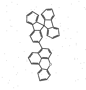 c1ccc2c(c1)Oc1ccc(-c3ccc4c(c3)C3(c5ccccc5-c5ccccc53)c3ccccc3-4)c3cccc-2c13